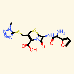 Cn1nnnc1SCC1=C(C(=O)O)N2C(=O)C(NC(=O)C(N)c3ccco3)C2SC1